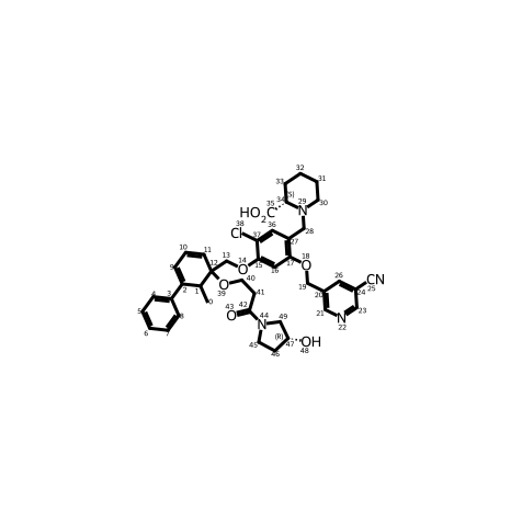 CC1C(c2ccccc2)=CC=CC1(COc1cc(OCc2cncc(C#N)c2)c(CN2CCCC[C@H]2C(=O)O)cc1Cl)OCCC(=O)N1CC[C@@H](O)C1